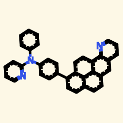 c1ccc(N(c2ccc(-c3ccc4ccc5cc6cccnc6c6ccc3c4c56)cc2)c2ccccn2)cc1